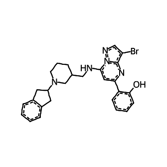 Oc1ccccc1-c1cc(NCC2CCCN(C3Cc4ccccc4C3)C2)n2ncc(Br)c2n1